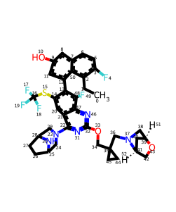 CCc1c(F)ccc2cc(O)cc(-c3c(SC(F)(F)F)cc4c(N5CC6CCC(C5)N6)nc(OCC5(CN6C[C@@H]7C[C@H]6CO7)CC5)nc4c3F)c12